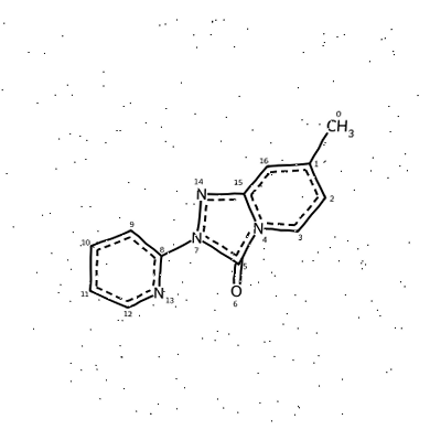 Cc1ccn2c(=O)n(-c3ccccn3)nc2c1